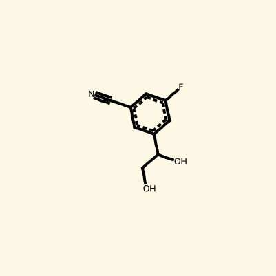 N#Cc1cc(F)cc(C(O)CO)c1